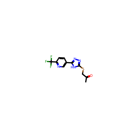 CC(=O)CSc1nnc(-c2ccc(C(F)(F)F)nc2)[nH]1